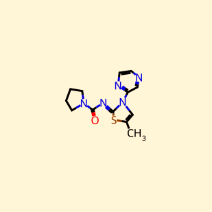 Cc1cn(-c2cnccn2)c(=NC(=O)N2CCCC2)s1